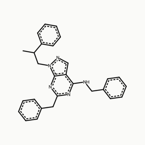 CC(Cn1ncc2c(NCc3ccccc3)nc(Cc3ccccc3)nc21)c1ccccc1